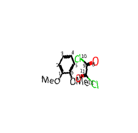 COc1ccccc1OC.O=C(Cl)C(=O)Cl